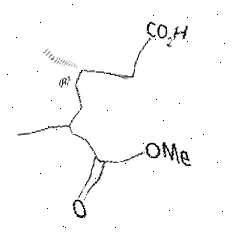 COC(=O)C(C)[C@H](C)CC(=O)O